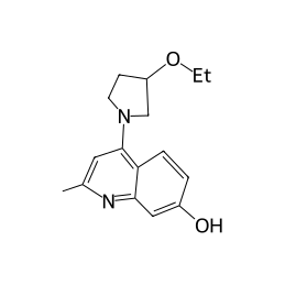 CCOC1CCN(c2cc(C)nc3cc(O)ccc23)C1